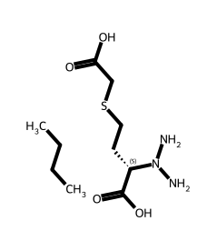 CCCC.NN(N)[C@@H](CCSCC(=O)O)C(=O)O